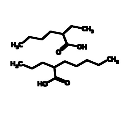 CCCCC(CC)C(=O)O.CCCCCC(CCC)C(=O)O